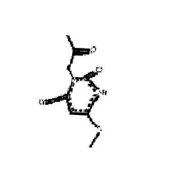 CSc1cc(=O)n(CC(C)=O)c(=O)[nH]1